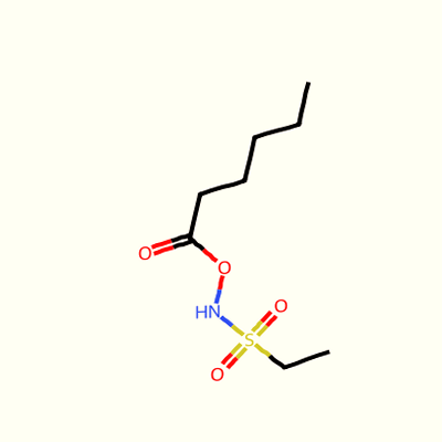 CCCCCC(=O)ONS(=O)(=O)CC